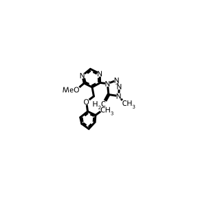 C=C1N(C)N=NN1c1ncnc(OC)c1COc1ccccc1C